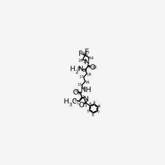 Cc1oc(-c2ccccc2)nc1C(=O)NCCCC[C@H](N)C(=O)N1CC(F)(F)C1